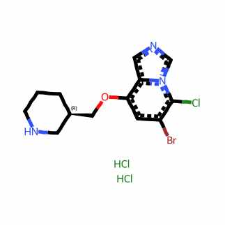 Cl.Cl.Clc1c(Br)cc(OC[C@@H]2CCCNC2)c2cncn12